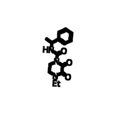 CCN1CCN(C(=O)NC(C)c2ccccc2)C(=O)C1=O